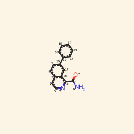 NC(=O)c1n[c]cc2ccc(-c3ccccc3)cc12